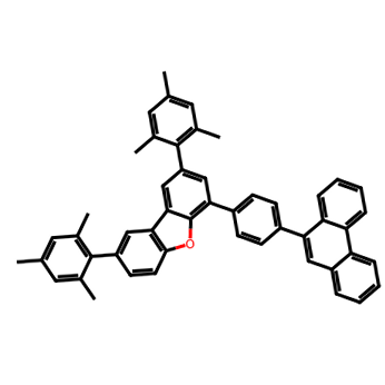 Cc1cc(C)c(-c2ccc3oc4c(-c5ccc(-c6cc7ccccc7c7ccccc67)cc5)cc(-c5c(C)cc(C)cc5C)cc4c3c2)c(C)c1